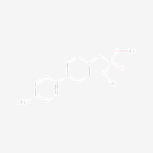 CCCc1ccc(C2CCC(CP(=O)(OC(C)C)OC(C)C)CC2)cc1